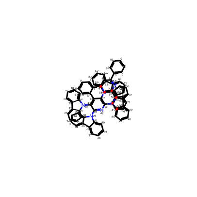 c1ccc(-c2cc(-c3ccccc3-c3c(-n4c5ccccc5c5ccccc54)c(-n4c5ccccc5c5ccccc54)nc(-n4c5ccccc5c5ccccc54)c3-n3c4ccccc4c4ccccc43)cc(-c3ccccc3)n2)cc1